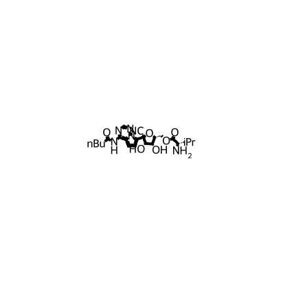 CCCCC(=O)Nc1ncnn2c([C@]3(C#N)O[C@H](COC(=O)[C@@H](N)C(C)C)[C@@H](O)[C@H]3O)ccc12